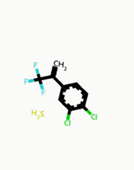 C=C(c1ccc(Cl)c(Cl)c1)C(F)(F)F.S